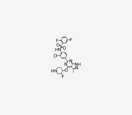 Cc1n[nH]c2nc(-c3ccc(NS(=O)(=O)c4cc(F)ccc4F)c(Cl)c3)nc(O[C@@H]3CCNC[C@@H]3F)c12